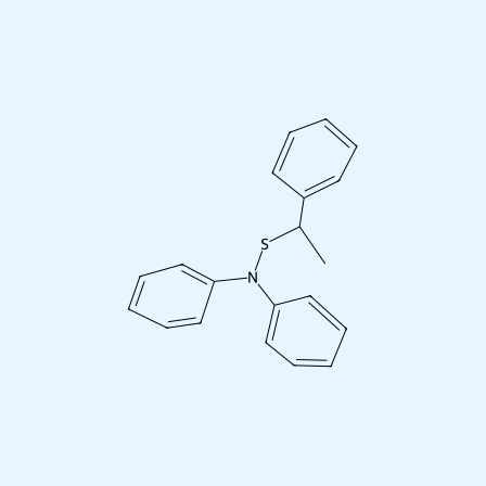 CC(SN(c1ccccc1)c1ccccc1)c1ccccc1